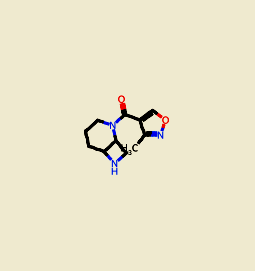 Cc1nocc1C(=O)N1CCCC2NCC21